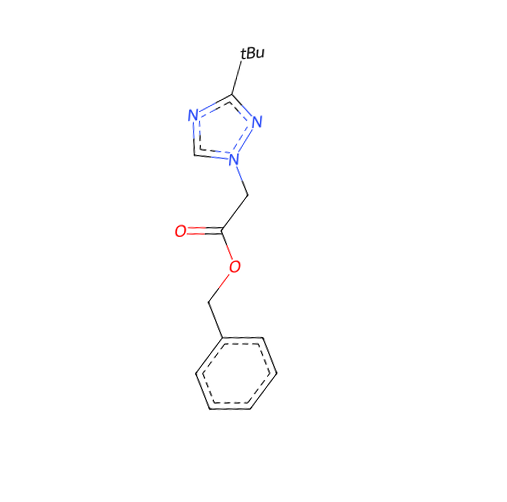 CC(C)(C)c1ncn(CC(=O)OCc2ccccc2)n1